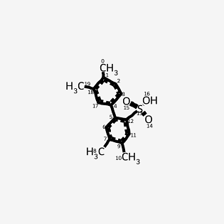 Cc1ccc(-c2cc(C)c(C)cc2S(=O)(=O)O)cc1C